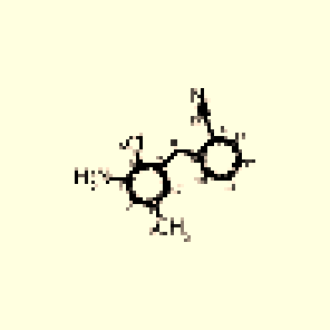 Cc1cc(N)c(Cl)c(Cc2ccccc2C#N)c1